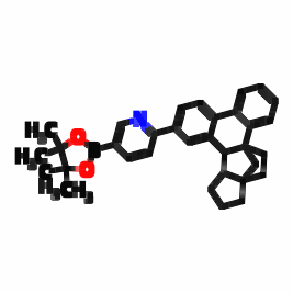 CC1(C)OB(c2ccc(-c3ccc4c(c3)C3C5CCCC56CCC3(C6)c3ccccc3-4)nc2)OC1(C)C